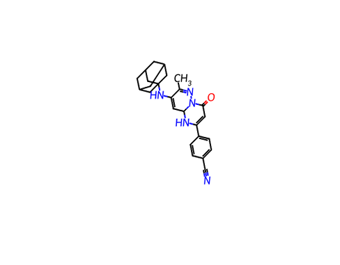 CC1=NN2C(=O)C=C(c3ccc(C#N)cc3)NC2C=C1NC12CC3CC(CC(C3)C1)C2